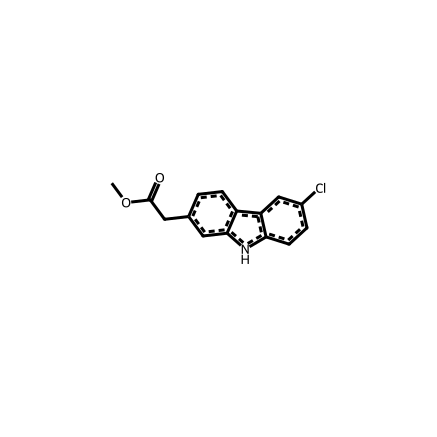 COC(=O)Cc1ccc2c(c1)[nH]c1ccc(Cl)cc12